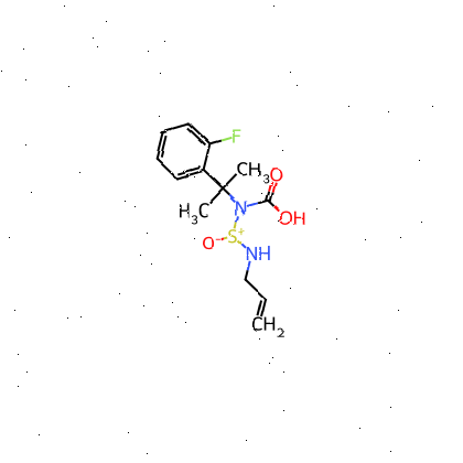 C=CCN[S+]([O-])N(C(=O)O)C(C)(C)c1ccccc1F